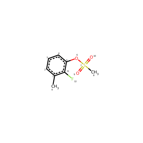 Cc1cccc(OS(C)(=O)=O)c1F